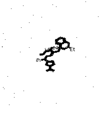 C=C/C=C(C)\C(=C/CC(C1=CCC(C(=C)C)C1)C(C)C)CC1(N)CC(CC)Cc2ccccc21